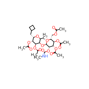 CNC(=O)O[C@@H]1[C@@H](O[C@@H]2C(C)O[C@@H](CC3CCC3)[C@@H](OC(C)=O)[C@@H]2OC(C)=O)O[C@H](COC(C)=O)[C@@H](OC(C)=O)[C@@H]1OC(C)=O